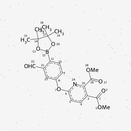 COC(=O)c1ccc(Oc2ccc(B3OC(C)(C)C(C)(C)O3)c(C=O)c2)nc1C(=O)OC